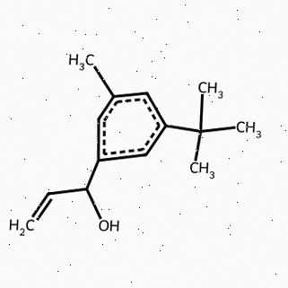 C=CC(O)c1cc(C)cc(C(C)(C)C)c1